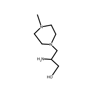 CN1CCN(CC(N)CO)CC1